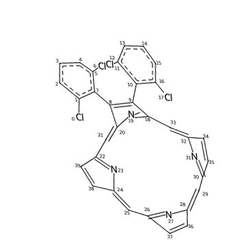 Clc1cccc(Cl)c1C1=C(c2c(Cl)cccc2Cl)C2=NC1=CC1=NC(=CC3=NC(=CC4=NC(=C2)C=C4)C=C3)C=C1